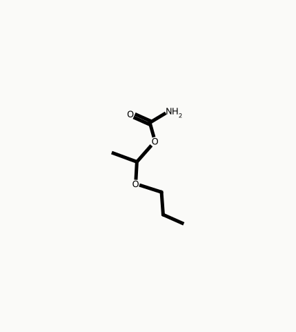 CCCOC(C)OC(N)=O